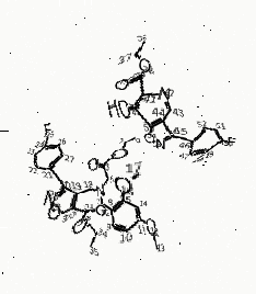 CCOC(=O)CN(Cc1ccc(OC)cc1OC)Cc1c(-c2ccc(F)cc2)noc1C(=O)OCC.CCOC(=O)c1ncc2c(-c3ccc(F)cc3)noc2c1O